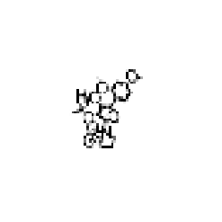 COc1ccc(-c2oc(N3CCCS3(=O)=O)c(OC(C)=O)c2O)c(OC)c1